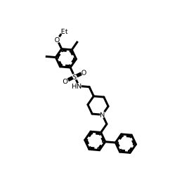 CCOc1c(C)cc(S(=O)(=O)NCC2CCN(Cc3ccccc3-c3ccccc3)CC2)cc1C